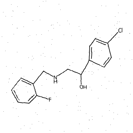 OC(CNCc1ccccc1F)c1ccc(Cl)cc1